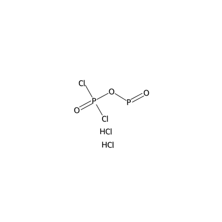 Cl.Cl.O=POP(=O)(Cl)Cl